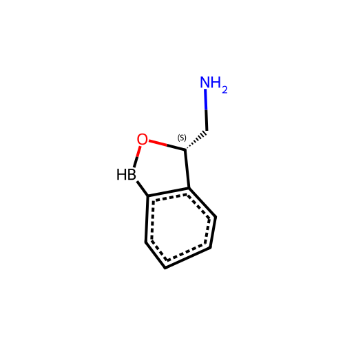 NC[C@H]1OBc2ccccc21